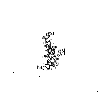 CC(C)[C@@H](C(=O)N1C[C@H](O)C[C@H]1C(=O)N[C@@H](C)c1ccc(C#N)cc1)c1cc(N2CCN(C(=O)OC(C)(C)C)CC2)no1